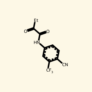 CCC(=O)C(=O)Nc1ccc(C#N)c(C(F)(F)F)c1